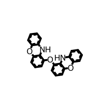 c1ccc2c(c1)Nc1c(cccc1Oc1cccc3c1Nc1ccccc1O3)O2